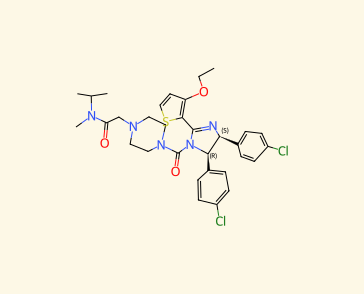 CCOc1ccsc1C1=N[C@@H](c2ccc(Cl)cc2)[C@@H](c2ccc(Cl)cc2)N1C(=O)N1CCN(CC(=O)N(C)C(C)C)CC1